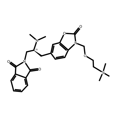 CN(C)[C@@H](Cc1ccc2c(c1)oc(=O)n2COCC[Si](C)(C)C)CN1C(=O)c2ccccc2C1=O